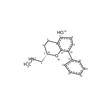 CNC[C@@H]1CCc2cccc(-c3cccnc3)c2O1.Cl